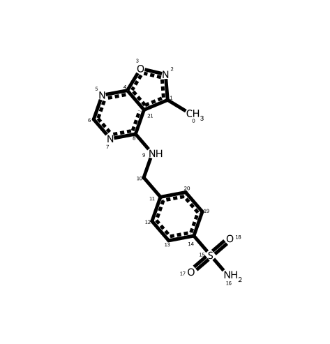 Cc1noc2ncnc(NCc3ccc(S(N)(=O)=O)cc3)c12